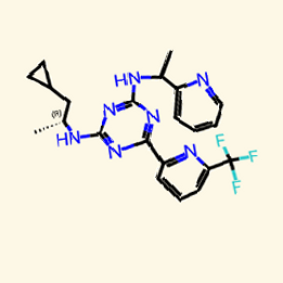 CC(Nc1nc(N[C@H](C)CC2CC2)nc(-c2cccc(C(F)(F)F)n2)n1)c1ccccn1